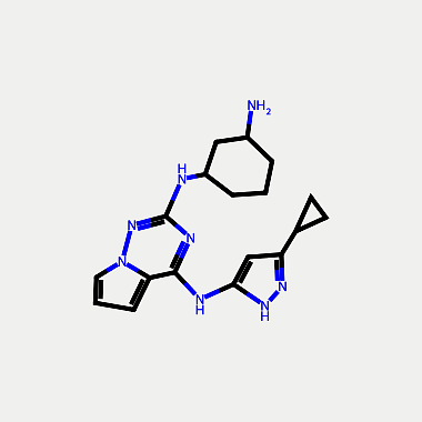 NC1CCCC(Nc2nc(Nc3cc(C4CC4)n[nH]3)c3cccn3n2)C1